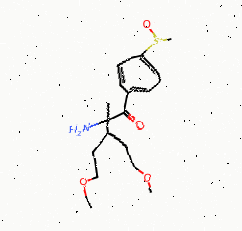 COCCC(CCOC)C(C)(N)C(=O)c1ccc([S+](C)[O-])cc1